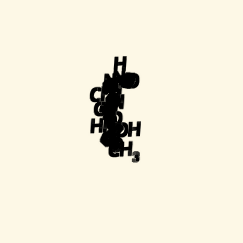 COc1cccc([C@@H](CO)NC(=O)CN2Cc3ncc(-c4nc(NC5CCOCC5)ncc4Cl)cc3C2=O)n1